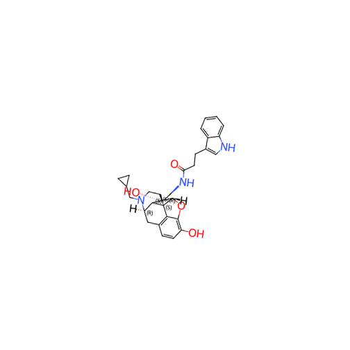 O=C(CCc1c[nH]c2ccccc12)N[C@H]1CC[C@H](O)C2[C@H]3Cc4ccc(O)c5c4[C@@]2(CCN3CC2CC2)[C@H]1O5